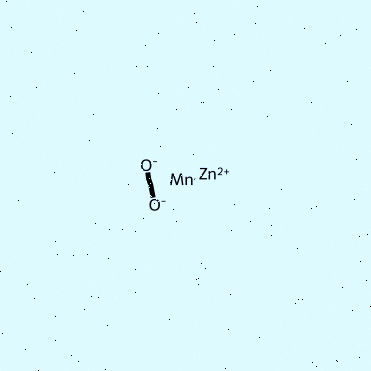 [Mn].[O-][O-].[Zn+2]